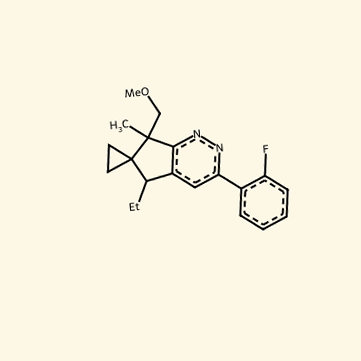 CCC1c2cc(-c3ccccc3F)nnc2C(C)(COC)C12CC2